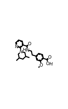 COc1cc(CCNC(=O)c2cccnc2N2CC(C)CC(C)C2)ccc1C(=O)O